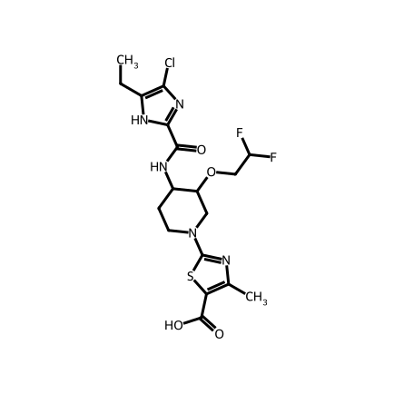 CCc1[nH]c(C(=O)NC2CCN(c3nc(C)c(C(=O)O)s3)CC2OCC(F)F)nc1Cl